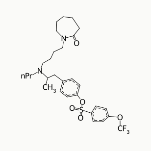 CCCN(CCCCN1CCCCCC1=O)C(C)Cc1ccc(OS(=O)(=O)c2ccc(OC(F)(F)F)cc2)cc1